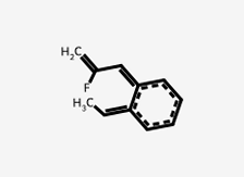 C=C(F)/C=c1/cccc/c1=C/C